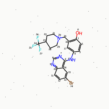 Oc1ccc(Nc2ncnc3ccc(Br)cc23)cc1CN1CCC(C(F)(F)F)CC1